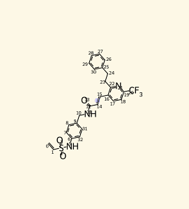 C=CS(=O)(=O)Nc1ccc(CNC(=O)/C=C/c2ccc(C(F)(F)F)nc2CCc2ccccc2)cc1